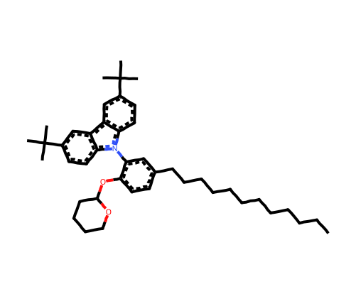 CCCCCCCCCCCCc1ccc(OC2CCCCO2)c(-n2c3ccc(C(C)(C)C)cc3c3cc(C(C)(C)C)ccc32)c1